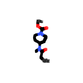 CC(=O)OCC(=O)N(C)C1CCN(C(=O)OC(C)(C)C)CC1